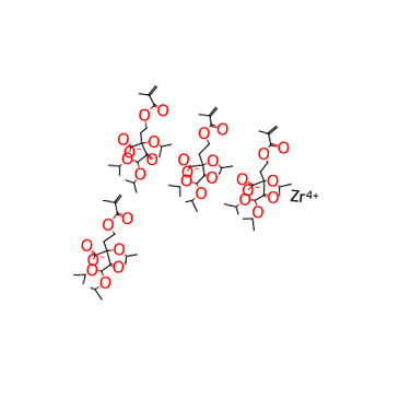 C=C(C)C(=O)OCCC(OC(C)C)(C(=O)[O-])C(=O)C(OC(C)C)OC(C)C.C=C(C)C(=O)OCCC(OC(C)C)(C(=O)[O-])C(=O)C(OC(C)C)OC(C)C.C=C(C)C(=O)OCCC(OC(C)C)(C(=O)[O-])C(=O)C(OC(C)C)OC(C)C.C=C(C)C(=O)OCCC(OC(C)C)(C(=O)[O-])C(=O)C(OC(C)C)OC(C)C.[Zr+4]